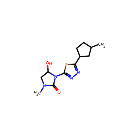 CC1CCC(c2nnc(N3C(=O)N(C)CC3O)s2)C1